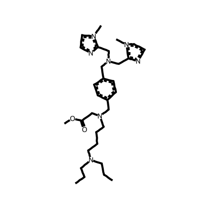 CCCN(CCC)CCCCN(CC(=O)OC)Cc1ccc(CN(Cc2nccn2C)Cc2nccn2C)cc1